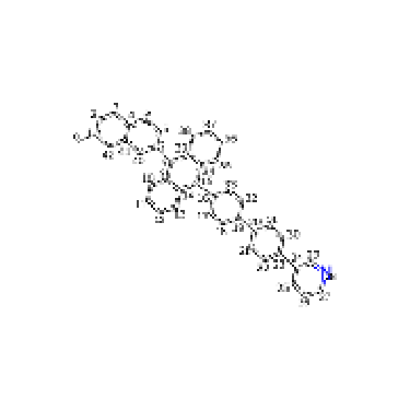 Cc1ccc2ccc(-c3c4ccccc4c(-c4ccc(-c5ccc(-c6cccnc6)cc5)cc4)c4ccccc34)cc2c1